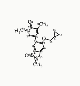 Cc1cc(-c2cc3c(cc2OCC2CC2)CN(C)[S+]3[O-])cn(C)c1=O